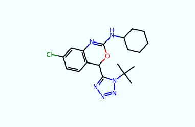 CC(C)(C)n1nnnc1C1OC(NC2CCCCC2)=Nc2cc(Cl)ccc21